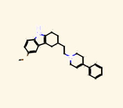 CSc1ccc2[nH]c3c(c2c1)CC(CCN1CC=C(c2ccccc2)CC1)CC3